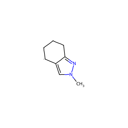 Cn1cc2c(n1)CCC[CH]2